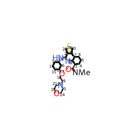 CNC(=O)c1cccc2c1nc(Nc1cccc(OCCN3CCOCC3)c1)c1cscc12